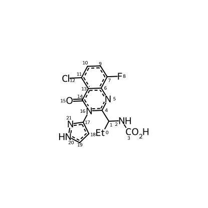 CCC(NC(=O)O)c1nc2c(F)ccc(Cl)c2c(=O)n1-c1cc[nH]n1